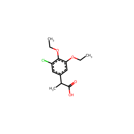 CCOc1cc(C(C)C(=O)O)cc(Cl)c1OCC